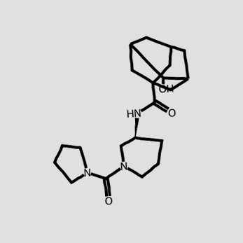 O=C(N1CCCC1)N1CCC[C@H](NC(=O)C23CC4CC(C2)C(O)C(C4)C3)C1